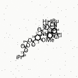 COc1cc(C(=O)OC(C)OC(=O)OCCC(C)C)ccc1NC(=O)[C@@H]1N[C@@H](CC(C)(C)C)[C@](C#N)(c2ccc(Cl)cc2F)[C@H]1c1cccc(Cl)c1F